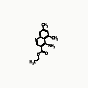 CCOC(=O)c1cnc2cc(C)cc(C)c2c1N